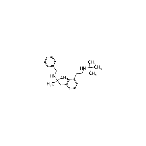 CC(C)(C)NCCc1cccc(CC(C)(C)NCc2ccccc2)c1